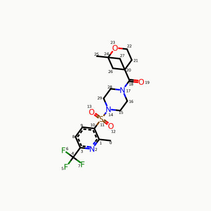 Cc1nc(C(F)(F)F)ccc1S(=O)(=O)N1CCN(C(=O)C23CCOC(C)(C2)C3)CC1